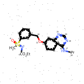 CCOC(=O)N=S(C)(=O)c1cccc(COc2ccc3c(NC(C)C)ncnc3c2)c1